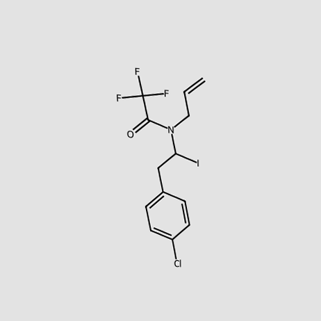 C=CCN(C(=O)C(F)(F)F)C(I)Cc1ccc(Cl)cc1